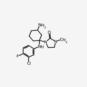 CN1CCN(C2(Nc3ccc(F)c(Cl)c3)CCCC(N)C2)C1=O